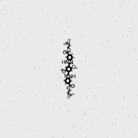 COc1cc(-c2nc3ccc(C(=O)OCCN(C)C)cc3[nH]2)c(OC)cc1-c1nc2ccc(C(=O)OCCN(C)C)cc2[nH]1